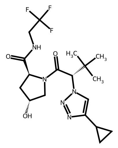 CC(C)(C)[C@@H](C(=O)N1C[C@H](O)C[C@H]1C(=O)NCC(F)(F)F)n1cc(C2CC2)nn1